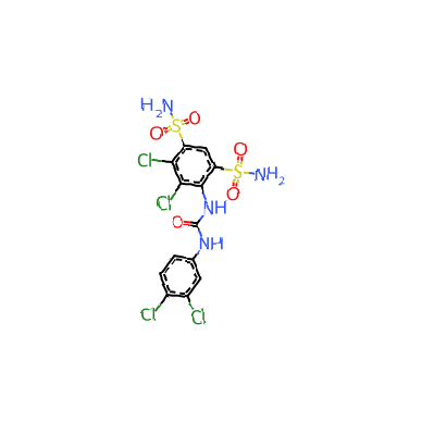 NS(=O)(=O)c1cc(S(N)(=O)=O)c(NC(=O)Nc2ccc(Cl)c(Cl)c2)c(Cl)c1Cl